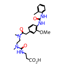 COc1cc(CC(=O)N(C)CCN(C)C(=O)NCCC(=O)O)ccc1NC(=O)Nc1ccccc1C